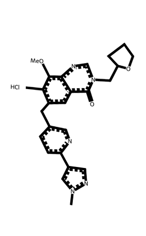 COc1c(C)c(Cc2ccc(-c3cnn(C)c3)nc2)cc2c(=O)n(CC3CCCO3)cnc12.Cl